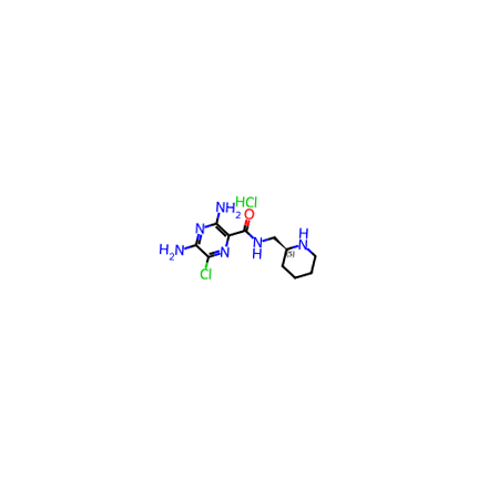 Cl.Nc1nc(N)c(C(=O)NC[C@@H]2CCCCN2)nc1Cl